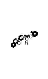 Cc1ccccc1OCC(O)CN1CCC(N2CCc3ccccc3C2=O)CC1